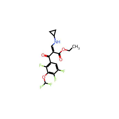 CCOC(=O)C(=CNC1CC1)C(=O)c1cc(F)c(F)c(OC(F)F)c1F